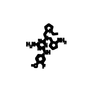 CCN1CCCC1CN(CC1CCCC1N)c1nc(N)nc(Nc2ccc(OC)c(F)c2)n1